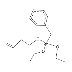 C=CCCO[Si](Cc1ccccc1)(OCC)OCC